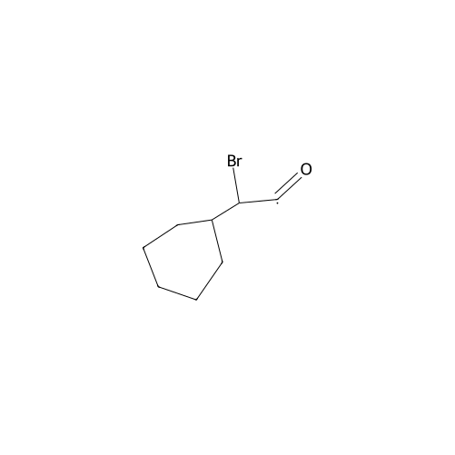 O=[C]C(Br)C1CCCCC1